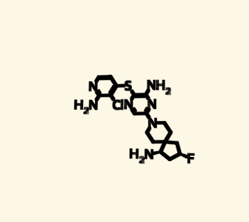 Nc1nc(N2CCC3(CC2)C[C@@H](F)C[C@H]3N)cnc1Sc1ccnc(N)c1Cl